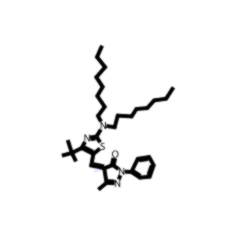 CCCCCCCCN(CCCCCCCC)c1nc(C(C)(C)C)c(/C=C2\C(=O)N(c3ccccc3)N=C2C)s1